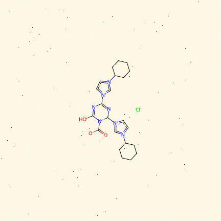 O=C([O-])N1C(O)=NC([n+]2ccn(C3CCCCC3)c2)=NC1[n+]1ccn(C2CCCCC2)c1.[Cl-]